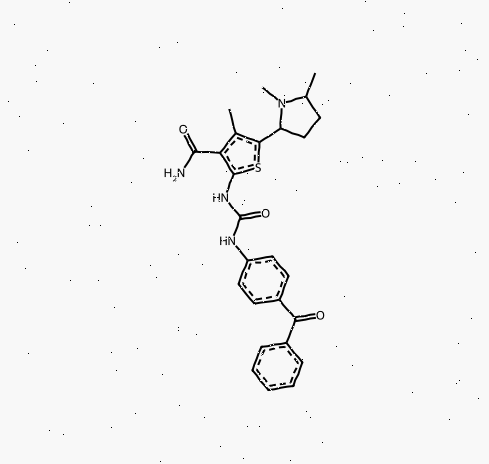 Cc1c(C2CCC(C)N2C)sc(NC(=O)Nc2ccc(C(=O)c3ccccc3)cc2)c1C(N)=O